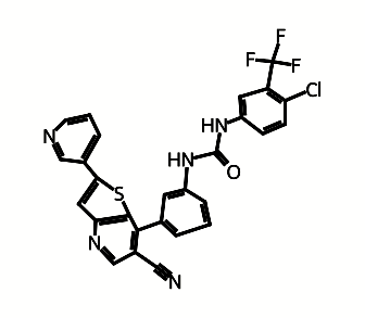 N#Cc1cnc2cc(-c3cccnc3)sc2c1-c1cccc(NC(=O)Nc2ccc(Cl)c(C(F)(F)F)c2)c1